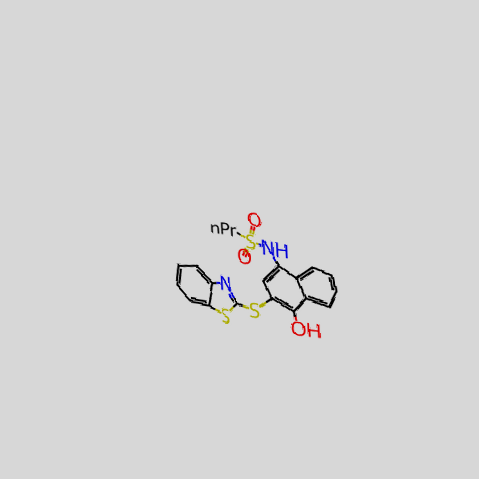 CCCS(=O)(=O)Nc1cc(Sc2nc3ccccc3s2)c(O)c2ccccc12